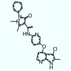 C=C(Nc1ccc(Oc2ccnc3[nH]c(C)c(Cl)c23)cn1)c1c(C)n(C)n(-c2ccccc2)c1=O